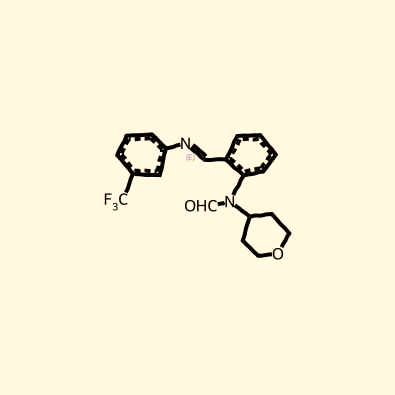 O=CN(c1ccccc1/C=N/c1cccc(C(F)(F)F)c1)C1CCOCC1